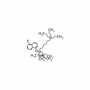 CCC[Si](CCC)(CCC)CCCCCC[Si](C[Si](CC)(CC)CC)(Oc1cccc2c(F)c[c]cc12)C(C)C